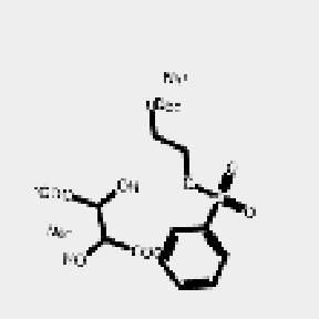 CCCCCCCCCCCCOS(=O)(=O)c1ccccc1.O=C([O-])C(O)C(O)C(=O)[O-].[Na+].[Na+]